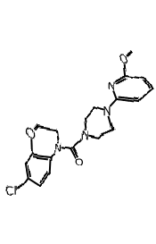 COc1cccc(N2CCN(C(=O)N3CCOc4cc(Cl)ccc43)CC2)n1